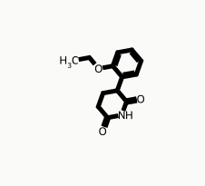 CCOc1ccccc1C1CCC(=O)NC1=O